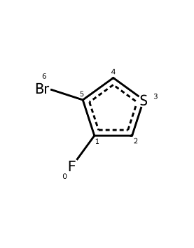 Fc1cscc1Br